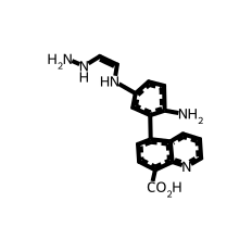 NN/C=C\Nc1ccc(N)c(-c2ccc(C(=O)O)c3ncccc23)c1